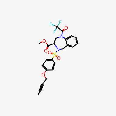 CC#CCOc1ccc(S(=O)(=O)N2Cc3ccccc3N(C(=O)C(F)(F)F)CC2C(=O)OC)cc1